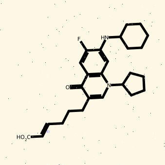 O=C(O)/C=C/CCCc1cn(C2CCCC2)c2cc(NC3CCCCC3)c(F)cc2c1=O